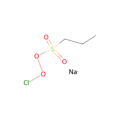 CCCS(=O)(=O)OOCl.[Na]